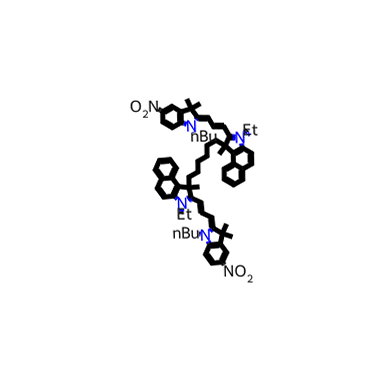 CCCCN1C(=CC=CC2=[N+](CC)c3ccc4ccccc4c3C2(C)CCCCCCC2(C)C(C=CC=C3N(CCCC)c4ccc([N+](=O)[O-])cc4C3(C)C)=[N+](CC)c3ccc4ccccc4c32)C(C)(C)c2cc([N+](=O)[O-])ccc21